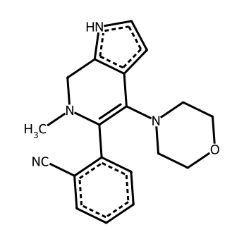 CN1Cc2[nH]ccc2C(N2CCOCC2)=C1c1ccccc1C#N